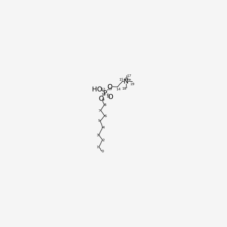 CCCCCCCCCOP(=O)(O)OCC[N+](C)(C)C